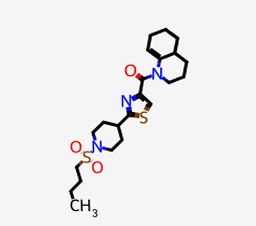 CCCCS(=O)(=O)N1CCC(c2nc(C(=O)N3CCCC4CCCC=C43)cs2)CC1